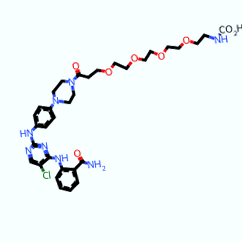 NC(=O)c1ccccc1Nc1nc(Nc2ccc(N3CCN(C(=O)CCOCCOCCOCCOCCNC(=O)O)CC3)cc2)ncc1Cl